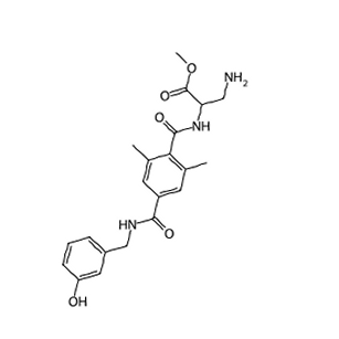 COC(=O)C(CN)NC(=O)c1c(C)cc(C(=O)NCc2cccc(O)c2)cc1C